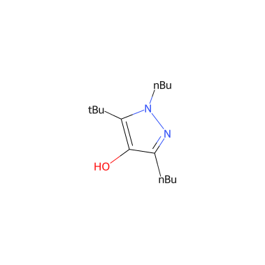 CCCCc1nn(CCCC)c(C(C)(C)C)c1O